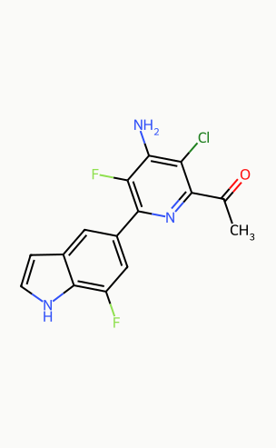 CC(=O)c1nc(-c2cc(F)c3[nH]ccc3c2)c(F)c(N)c1Cl